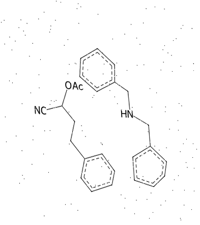 CC(=O)OC(C#N)CCc1ccccc1.c1ccc(CNCc2ccccc2)cc1